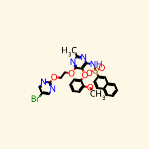 COc1ccccc1Oc1c(NS(=O)(=O)c2ccc3ccccc3c2)nc(C)nc1OCCOc1ncc(Br)cn1